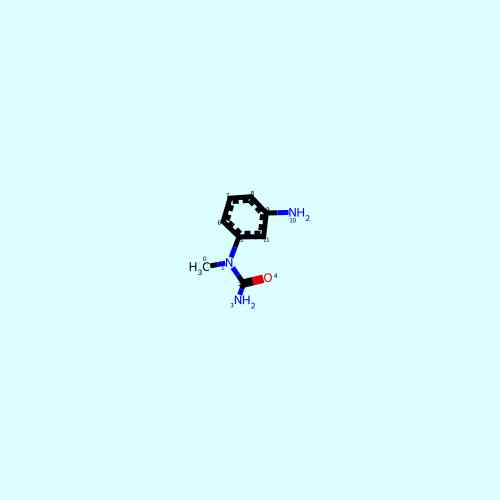 CN(C(N)=O)c1cccc(N)c1